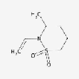 C=CN1C(C)CCCS1(=O)=O